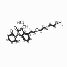 Cl.Cn1c(=O)n(N2C(=O)CCCC2=O)c2cccc(CCOCCOCCN)c21